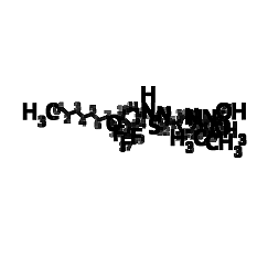 CCCCCCCCOc1ccc(Nc2nc(-c3ccc(C(NC(=O)O)C(C)(C)C)nc3)cs2)cc1C(F)(F)F